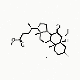 CC[C@H]1C(=O)C2C3CC[C@H]([C@H](C)CCC(=O)OC)[C@@]3(C)CCC2[C@@]2(C)CC[C@@H](C)C[C@@H]12